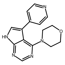 c1cc(-c2c[nH]c3ncnc(N4CCOCC4)c23)ccn1